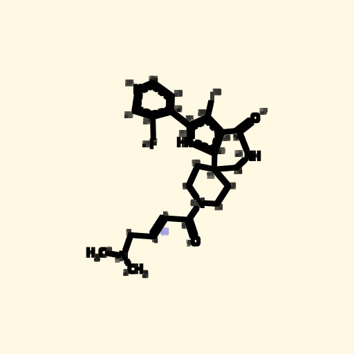 CN(C)C/C=C/C(=O)N1CCC2(CC1)CNC(=O)c1c2[nH]c(-c2ccncc2F)c1I